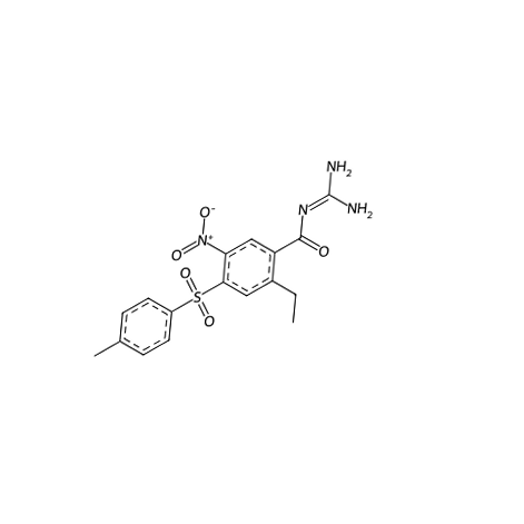 CCc1cc(S(=O)(=O)c2ccc(C)cc2)c([N+](=O)[O-])cc1C(=O)N=C(N)N